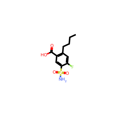 CCCCc1cc(F)c(S(N)(=O)=O)cc1C(=O)O